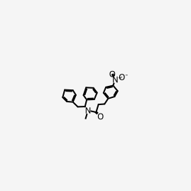 CN(C(=O)CCc1ccc([N+](=O)[O-])cc1)C(Cc1ccccc1)c1ccccc1